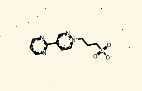 O=S(=O)([O-])CCC[n+]1ccc(-c2ncccn2)cn1